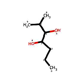 CCCC(O)C(O)C(C)C